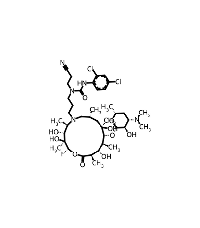 C[C@H]1CN(CCCN(CCC#N)C(=O)Nc2ccc(Cl)cc2Cl)[C@H](C)[C@@H](O)[C@](C)(O)[C@@H](I)OC(=O)[C@H](C)[C@@H](O)[C@H](C)[C@@H](O[C@@H]2O[C@H](C)C[C@H](N(C)C)[C@H]2O)[C@](C)(O)C1